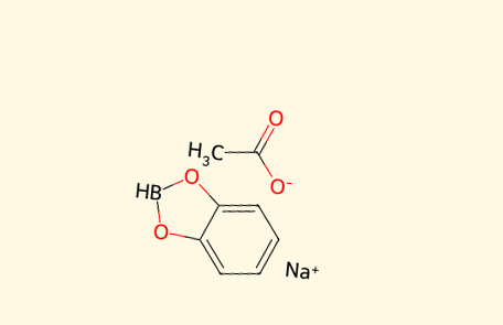 B1Oc2ccccc2O1.CC(=O)[O-].[Na+]